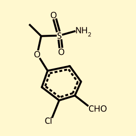 CC(Oc1ccc(C=O)c(Cl)c1)S(N)(=O)=O